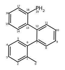 Cc1ccccc1-c1ccccc1-c1ccccc1P